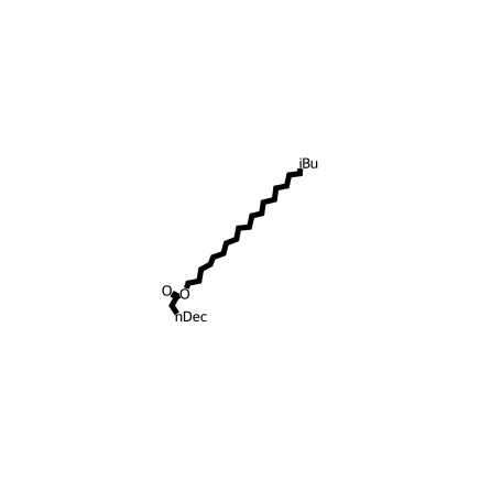 CCCCCCCCCCCC(=O)OCCCCCCCCCCCCCCCCCCC(C)CC